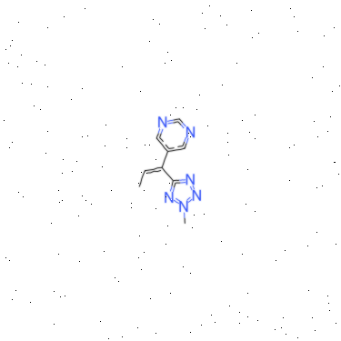 C/C=C(/c1cncnc1)c1nnn(C)n1